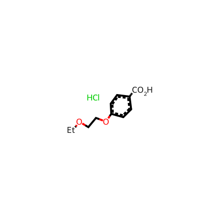 CCOCCOc1ccc(C(=O)O)cc1.Cl